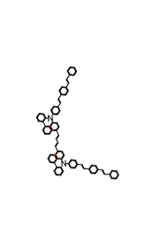 C(/C=C/c1ccc(N(c2ccc(/C=C/c3ccc(/C=C/c4ccccc4)cc3)cc2)c2ccccc2-c2ccccc2)cc1)=C\c1ccc(N(c2ccc(/C=C/c3ccc(/C=C/c4ccccc4)cc3)cc2)c2ccccc2-c2ccccc2)cc1